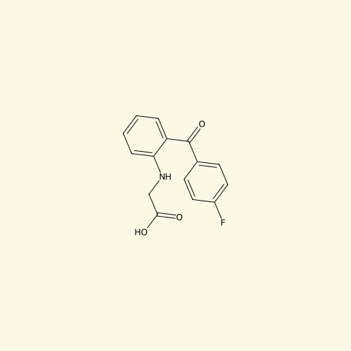 O=C(O)CNc1ccccc1C(=O)c1ccc(F)cc1